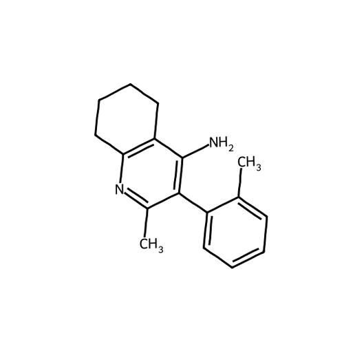 Cc1ccccc1-c1c(C)nc2c(c1N)CCCC2